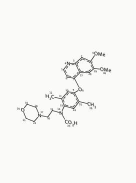 COc1cc2nccc(Oc3cc(C)c(N(CCN4CCOCC4)C(=O)O)cc3C)c2cc1OC